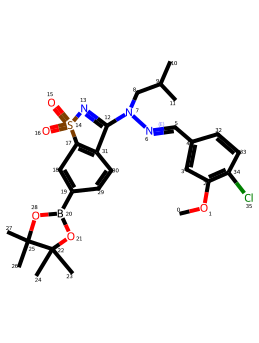 COc1cc(/C=N/N(CC(C)C)C2=NS(=O)(=O)c3cc(B4OC(C)(C)C(C)(C)O4)ccc32)ccc1Cl